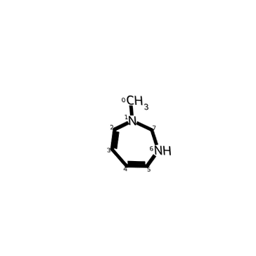 CN1C=CC=CNC1